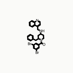 O=C(c1cc(Br)cc(Br)c1)N1CCC(NCc2ccnc3ccccc23)CC1Cc1ccccc1